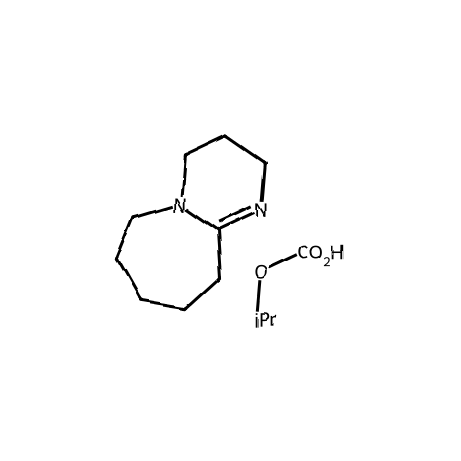 C1CCC2=NCCCN2CC1.CC(C)OC(=O)O